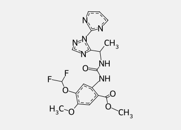 COC(=O)c1cc(OC)c(OC(F)F)cc1NC(=O)NC(C)c1ncnn1-c1ncccn1